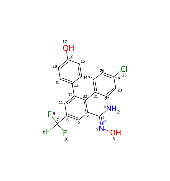 N/C(=N\O)c1cc(C(F)(F)F)cc(-c2ccc(O)cc2)c1-c1ccc(Cl)cc1